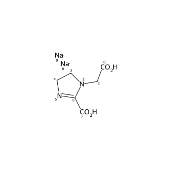 O=C(O)CN1CCN=C1C(=O)O.[Na].[Na]